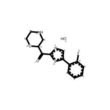 Cl.O=C(c1ncc(-c2ccccc2F)s1)C1CNCCO1